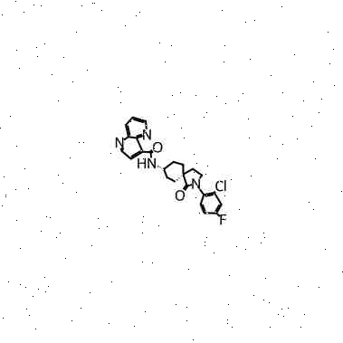 O=C(N[C@H]1CC[C@@]2(CCN(c3ccc(F)cc3Cl)C2=O)CC1)c1ccnc2cccnc12